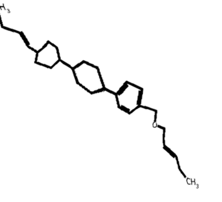 CCC=CCOCc1ccc(C2CCC(C3CCC(/C=C/CC)CC3)CC2)cc1